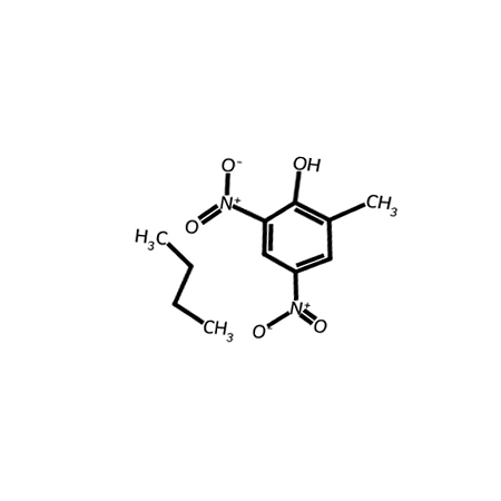 CCCC.Cc1cc([N+](=O)[O-])cc([N+](=O)[O-])c1O